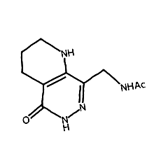 CC(=O)NCc1n[nH]c(=O)c2c1NCCC2